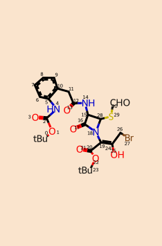 CC(C)(C)OC(=O)Nc1ccccc1CC(=O)NC1C(=O)N(/C(C(=O)OC(C)(C)C)=C(/O)CBr)C1SC=O